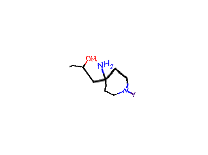 CC(O)CC1(N)CCN(I)CC1